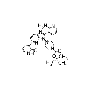 CC(C)(C)OC(=O)N1CCN(n2c(-c3cccnc3N)nc3ccc(-c4ccc[nH]c4=O)nc32)CC1